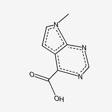 Cn1ccc2c(C(=O)O)ncnc21